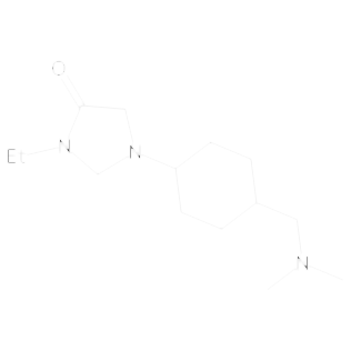 CCN1CN(C2CCC(CN(C)C)CC2)CC1=O